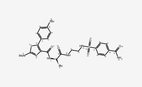 CC[C@H](C)[C@@H](NC(=O)c1nc(NC)sc1-c1ccc(C(C)(C)C)cc1)C(=O)NCCNS(=O)(=O)c1ccc(C(N)=O)cc1